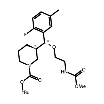 COC(=O)NCCO[C@@H](c1cc(C)ccc1F)[C@@H]1CCCN(C(=O)OC(C)(C)C)C1